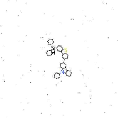 c1ccc(-n2c3ccccc3c3cc(-c4ccc5sc6ccc([SiH](c7ccccc7)c7ccccc7)cc6c5c4)ccc32)cc1